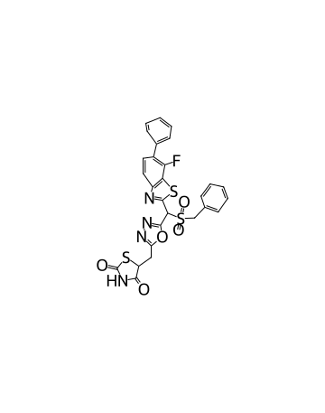 O=C1NC(=O)C(Cc2nnc(C(c3nc4ccc(-c5ccccc5)c(F)c4s3)S(=O)(=O)Cc3ccccc3)o2)S1